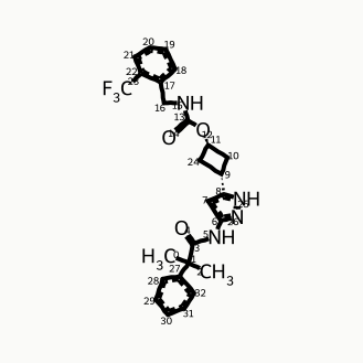 CC(C)(C(=O)Nc1cc([C@H]2C[C@@H](OC(=O)NCc3ccccc3C(F)(F)F)C2)[nH]n1)c1ccccc1